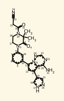 CC1(C)C(=O)N(c2cccc(-c3cc(-c4cn[nH]c4)c4c(N)ncnn34)c2)CCN1C(=O)CC#N